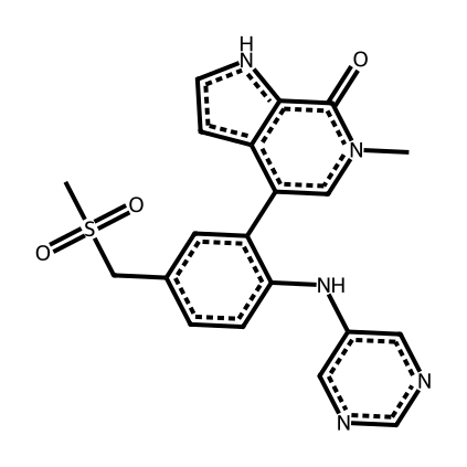 Cn1cc(-c2cc(CS(C)(=O)=O)ccc2Nc2cncnc2)c2cc[nH]c2c1=O